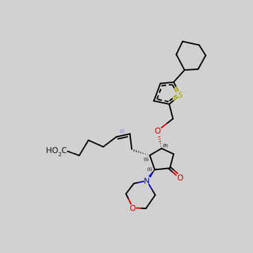 O=C(O)CCC/C=C\C[C@H]1[C@H](N2CCOCC2)C(=O)C[C@H]1OCc1ccc(C2CCCCC2)s1